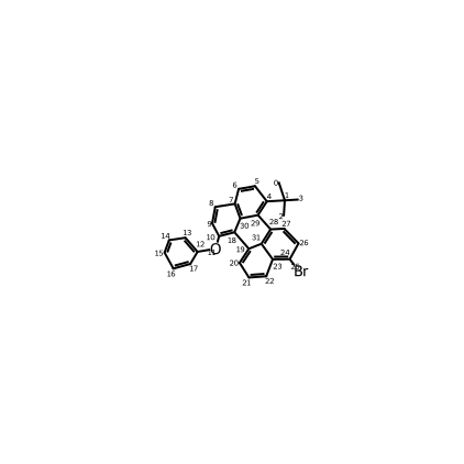 CC(C)(C)c1ccc2ccc(Oc3ccccc3)c3c4cccc5c(Br)ccc(c1c23)c54